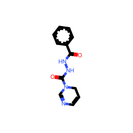 O=C(NNC(=O)N1C=NC=CC1)c1ccccc1